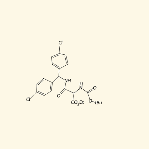 CCOC(=O)C(NC(=O)OC(C)(C)C)C(=O)NC(c1ccc(Cl)cc1)c1ccc(Cl)cc1